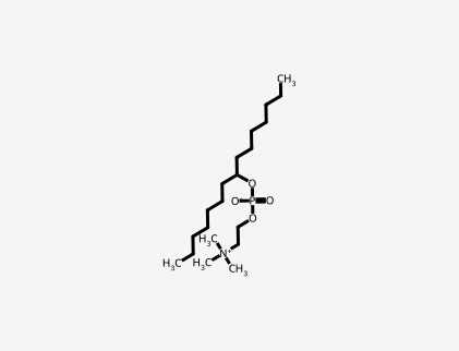 CCCCCCCC(CCCCCCC)OP(=O)([O-])OCC[N+](C)(C)C